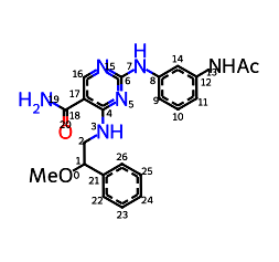 COC(CNc1nc(Nc2cccc(NC(C)=O)c2)ncc1C(N)=O)c1ccccc1